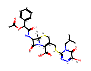 CC(=O)OC(C(=O)NC1C(=O)N2C(C(=O)O)=C(CSc3nnc(O)c(=O)n3CC(C)C)CS[C@@H]12)c1ccccc1